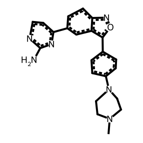 CN1CCN(c2ccc(-c3onc4ccc(-c5ccnc(N)n5)cc34)cc2)CC1